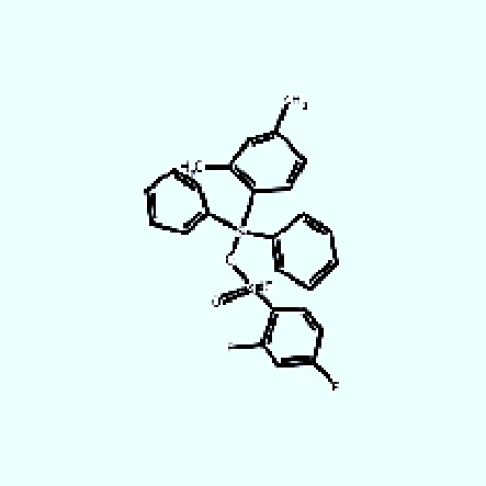 Cc1ccc(S(OS(=O)(=O)c2ccc(F)cc2F)(c2ccccc2)c2ccccc2)c(C)c1